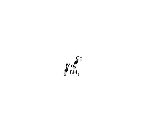 N.[S]=[Co].[S]=[Mo]